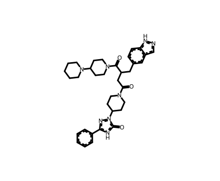 O=C(CC(Cc1ccc2[nH]ncc2c1)C(=O)N1CCC(N2CCCCC2)CC1)N1CCC(n2nc(-c3ccccc3)[nH]c2=O)CC1